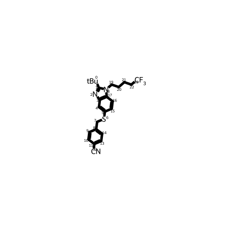 CC(C)(C)c1nc2cc(SCc3ccc(C#N)cc3)ccc2n1CCCCC(F)(F)F